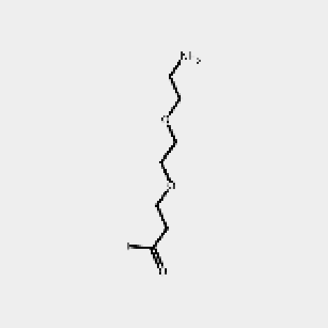 NCCOCCOCCC(=O)I